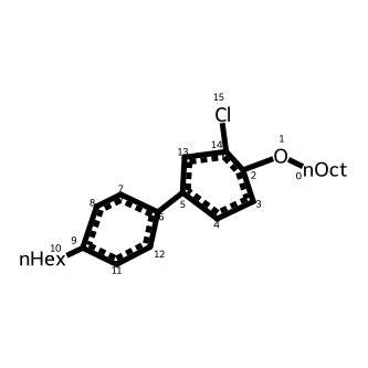 CCCCCCCCOc1ccc(-c2ccc(CCCCCC)cc2)cc1Cl